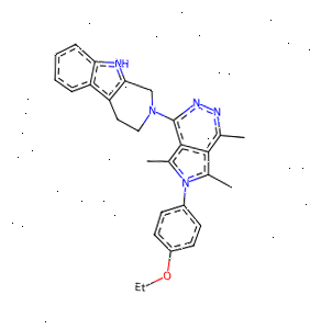 CCOc1ccc(-n2c(C)c3c(C)nnc(N4CCc5c([nH]c6ccccc56)C4)c3c2C)cc1